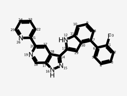 Fc1ccccc1-c1cccc2[nH]c(-c3n[nH]c4cnc(-c5ccccn5)cc34)cc12